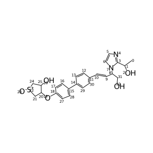 CC(O)c1nccn1C(/C=C/c1ccc(-c2ccc(OC3C[S+]([O-])CC3O)cc2)cc1)CO